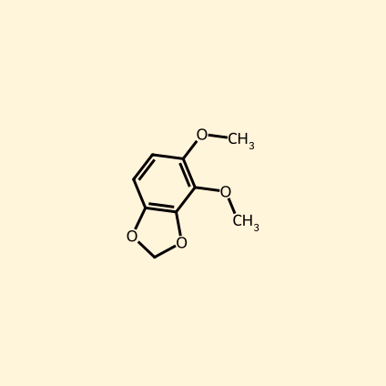 COc1ccc2c(c1OC)OCO2